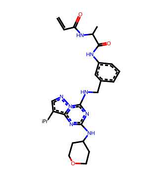 C=CC(=O)NC(C)C(=O)Nc1cccc(CNc2nc(NC3CCOCC3)nc3c(C(C)C)cnn23)c1